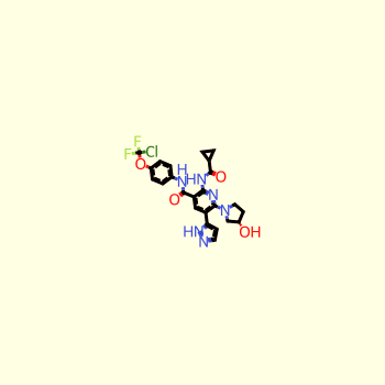 O=C(Nc1ccc(OC(F)(F)Cl)cc1)c1cc(-c2ccn[nH]2)c(N2CC[C@@H](O)C2)nc1NC(=O)C1CC1